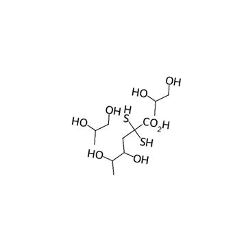 CC(O)C(O)CC(S)(S)C(=O)O.CC(O)CO.CC(O)CO